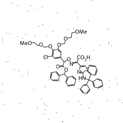 COCCOCOc1cc(C(O/N=C(\C(=O)O)c2csc(NC(c3ccccc3)(c3ccccc3)c3ccccc3)n2)C(=O)OC(c2ccccc2)c2ccccc2)cc(Cl)c1OCOCCOC